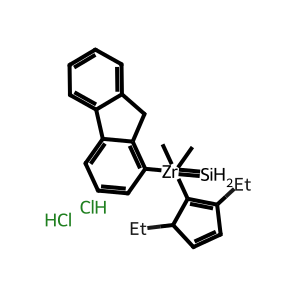 CCC1=[C]([Zr]([CH3])([CH3])(=[SiH2])[c]2cccc3c2Cc2ccccc2-3)C(CC)C=C1.Cl.Cl